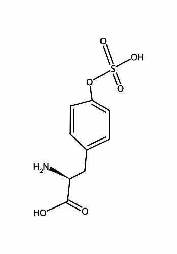 N[C@@H](Cc1ccc(OS(=O)(=O)O)cc1)C(=O)O